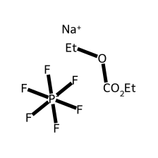 CCOC(=O)OCC.F[P-](F)(F)(F)(F)F.[Na+]